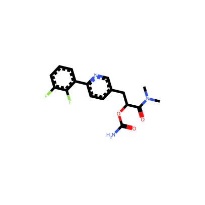 CN(C)C(=O)C(Cc1ccc(-c2cccc(F)c2F)nc1)OC(N)=O